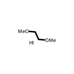 COCCOC.I